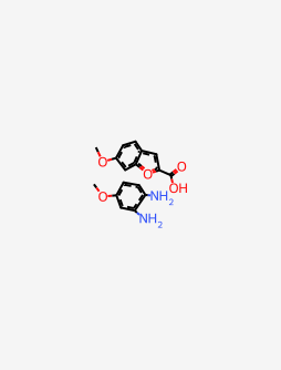 COc1ccc(N)c(N)c1.COc1ccc2cc(C(=O)O)oc2c1